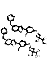 COC(=O)C1(O)CN(Cc2ccc(-c3cc4cc(Cc5ccccc5)ccc4o3)c(F)c2)C1.O=C(O)C1(O)CN(Cc2ccc(-c3cc4cc(Cc5ccccc5)ccc4o3)c(F)c2)C1